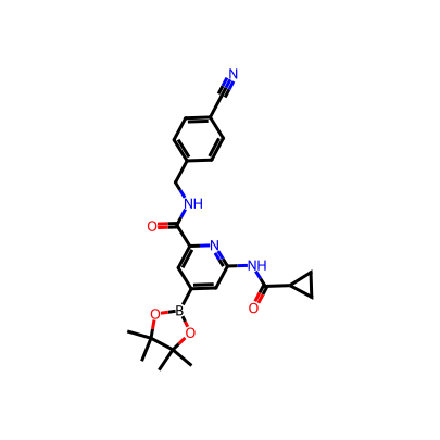 CC1(C)OB(c2cc(NC(=O)C3CC3)nc(C(=O)NCc3ccc(C#N)cc3)c2)OC1(C)C